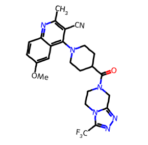 COc1ccc2nc(C)c(C#N)c(N3CCC(C(=O)N4CCn5c(nnc5C(F)(F)F)C4)CC3)c2c1